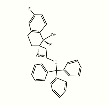 CO[C@]1(CCOC(c2ccccc2)(c2ccccc2)c2ccccc2)CCc2cc(F)ccc2[C@@]1(O)C(C)C